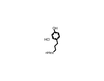 CCCCCCCCCc1ccc(O)cc1.Cl